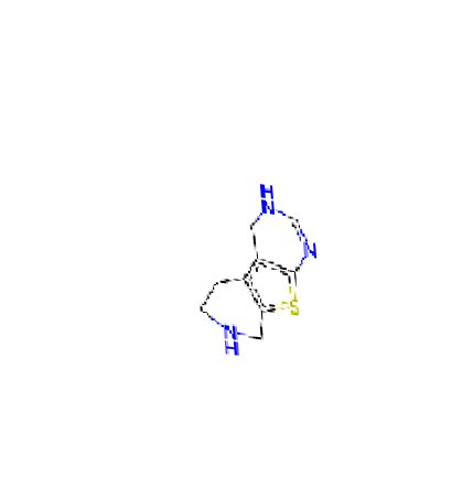 C1=Nc2sc3c(c2CN1)CCNC3